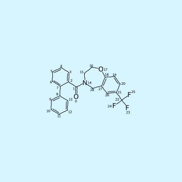 O=C(c1ccccc1-c1ccccc1)N1CCOc2ccc(C(F)(F)F)cc2C1